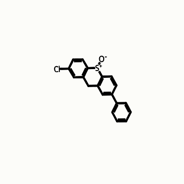 [O-][S+]1c2ccc(Cl)cc2Cc2cc(-c3ccccc3)ccc21